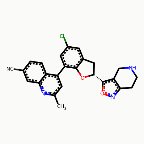 Cc1cc(-c2cc(Cl)cc3c2O[C@@H](c2onc4c2CNCC4)C3)c2ccc(C#N)cc2n1